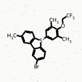 Cc1ccc2c(c1)c1cc(Br)ccc1[s+]2-c1cc(C)c(OCC(F)(F)F)c(C)c1